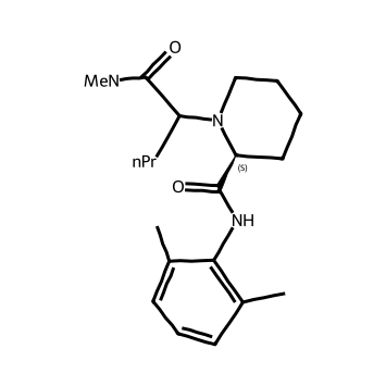 CCCC(C(=O)NC)N1CCCC[C@H]1C(=O)Nc1c(C)cccc1C